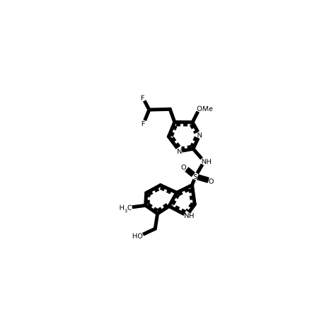 COc1nc(NS(=O)(=O)c2c[nH]c3c(CO)c(C)ccc23)ncc1CC(F)F